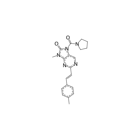 Cc1ccc(C=Cc2ncc3c(n2)n(C)c(=O)n3C(=O)N2CCCC2)cc1